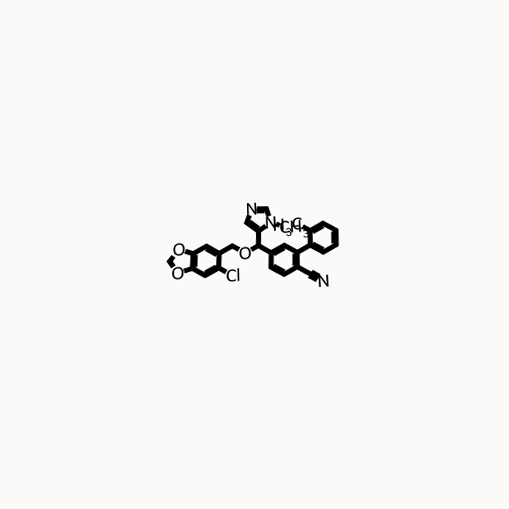 Cc1ccccc1-c1cc(C(OCc2cc3c(cc2Cl)OCO3)c2cncn2C)ccc1C#N